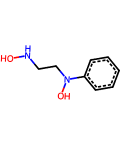 ONCCN(O)c1ccccc1